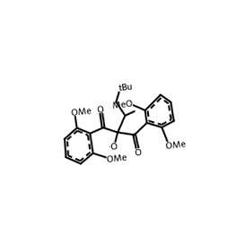 COc1cccc(OC)c1C(=O)C([O])(C(=O)c1c(OC)cccc1OC)C(C)CC(C)(C)C